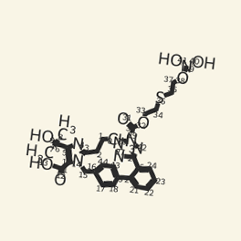 CCCc1nc(C(C)(C)O)c(C(=O)O)n1Cc1ccc(-c2ccccc2-c2nnn(C(=O)OCCSCCON(O)O)n2)cc1